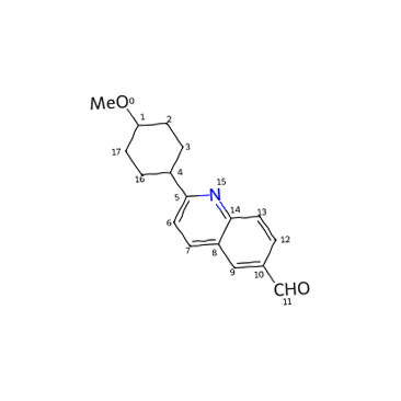 COC1CCC(c2ccc3cc(C=O)ccc3n2)CC1